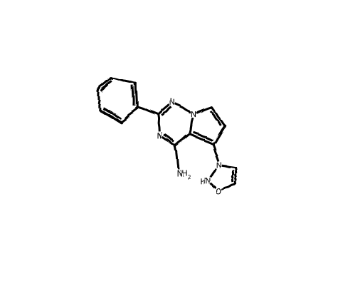 Nc1nc(-c2ccccc2)nn2ccc(N3C=CON3)c12